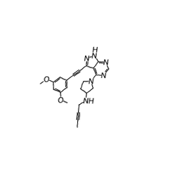 CC#CCNC1CCN(c2ncnc3[nH]nc(C#Cc4cc(OC)cc(OC)c4)c23)C1